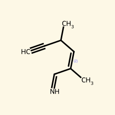 C#CC(C)/C=C(/C)C=N